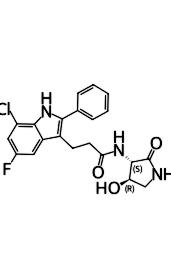 O=C(CCc1c(-c2ccccc2)[nH]c2c(Cl)cc(F)cc12)N[C@@H]1C(=O)NC[C@H]1O